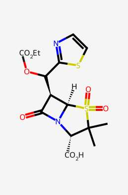 CCOC(=O)OC(c1nccs1)[C@@H]1C(=O)N2[C@@H](C(=O)O)C(C)(C)S(=O)(=O)[C@H]12